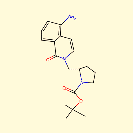 CC(C)(C)OC(=O)N1CCCC1Cn1ccc2c(N)cccc2c1=O